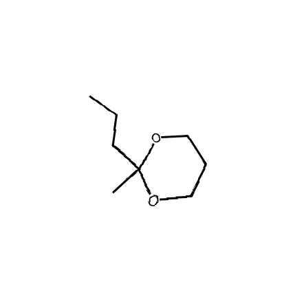 CCCC1(C)OCCCO1